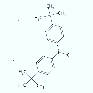 CP(c1ccc(C(C)(C)C)cc1)c1ccc(C(C)(C)C)cc1